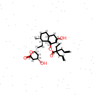 C=CCC(CC)(CC=C)C(=O)OC1=C2C(CC[C@H](C)[C@@H]2CC[C@@H]2C[C@@H](O)CC(=O)O2)CC(O)=C1